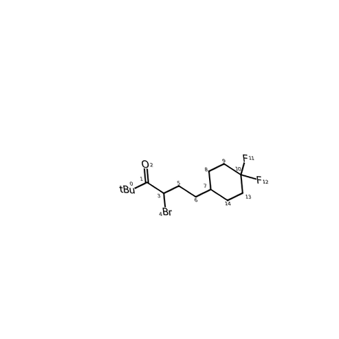 CC(C)(C)C(=O)C(Br)CCC1CCC(F)(F)CC1